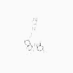 COc1nc(Nc2ccc(Br)cc2F)c2cc(OCCCN3CC4CNCC4C3)ccc2n1